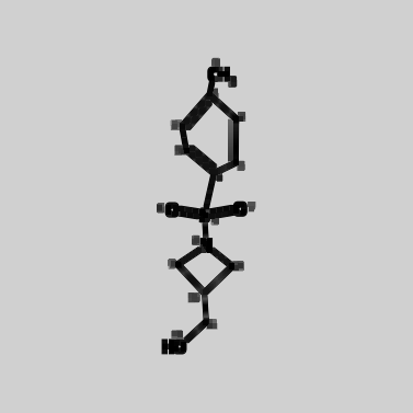 Cc1ccc(S(=O)(=O)N2CC(CO)C2)cc1